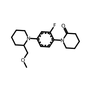 COCC1CCCCN1c1ccc(N2CCCCC2=O)c(F)c1